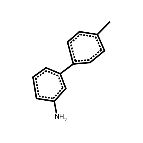 Cc1ccc(-c2cccc(N)c2)cc1